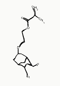 C=C(C)C(=O)OCCOC1CC2CC1C(CC)C2CC